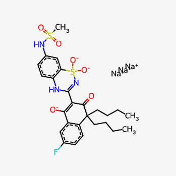 CCCCC1(CCCC)C(=O)C(C2=NS([O-])([O-])c3cc(NS(C)(=O)=O)ccc3N2)=C([O-])c2cc(F)ccc21.[Na+].[Na+].[Na+]